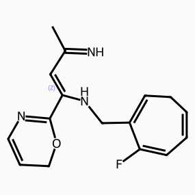 CC(=N)/C=C(\NCC1=CCC=CC=C1F)C1=NC=CCO1